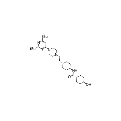 CC(C)(C)c1cc(N2CCN(CC[C@H]3CC[C@H](NC(=O)[C@H]4CC[C@H](O)CC4)CC3)CC2)nc(C(C)(C)C)n1